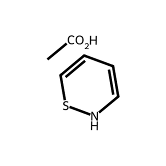 C1=CNSC=C1.CC(=O)O